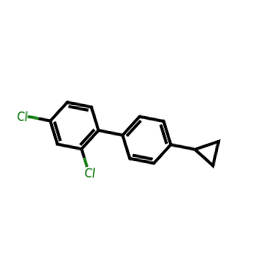 Clc1ccc(-c2ccc(C3CC3)cc2)c(Cl)c1